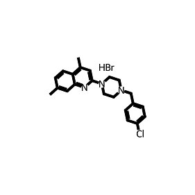 Br.Cc1ccc2c(C)cc(N3CCN(Cc4ccc(Cl)cc4)CC3)nc2c1